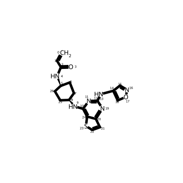 C=CC(=O)N[C@H]1CC[C@@H](Nc2nc(Nc3cnoc3)nc3ccsc23)CC1